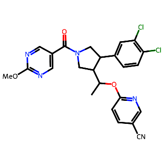 COc1ncc(C(=O)N2CC(c3ccc(Cl)c(Cl)c3)C(C(C)Oc3ccc(C#N)cn3)C2)cn1